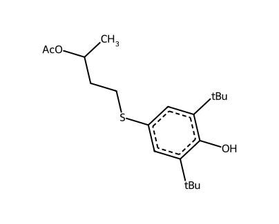 CC(=O)OC(C)CCSc1cc(C(C)(C)C)c(O)c(C(C)(C)C)c1